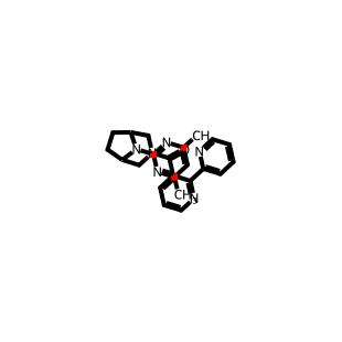 Cc1cc(C)nc(N2C3CCC2CN(C(=O)c2cccnc2-c2ccccn2)C3)n1